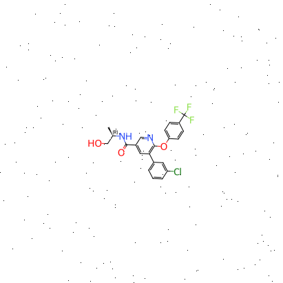 C[C@H](CO)NC(=O)c1cnc(Oc2ccc(C(F)(F)F)cc2)c(-c2cccc(Cl)c2)c1